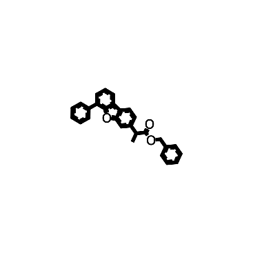 CC(C(=O)OCc1ccccc1)c1ccc2c(c1)oc1c(-c3ccccc3)cccc12